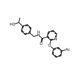 CC(=O)c1cccc(Oc2ncccc2C(=O)NCc2ccc(C(C)O)cc2)c1